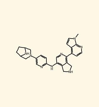 Cn1ccc2c(-c3ncc(Nc4ccc(N5CC6CCC(C5)N6)cn4)c4c3CNC4)ccnc21